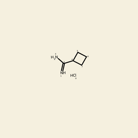 Cl.N=C(N)C1CCC1